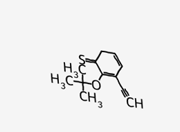 C#CC1=C(OC(C)(C)C)C(=S)CC=C1